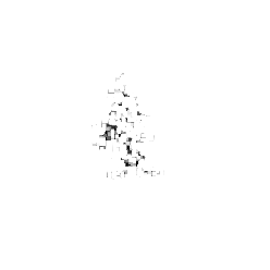 C=CCNC(=O)C(=O)C(CC1CC1)NC(=O)[C@@H]1[C@@H]2[C@H](CN1C(=O)[C@@H](NC(=O)N[C@H](C(=O)OC(C)(C)C)C(C)(C)C)C(C)(C)C)C2(C)C